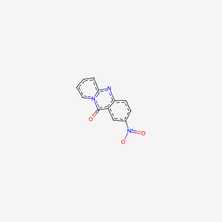 O=c1c2cc([N+](=O)[O-])ccc2nc2ccccn12